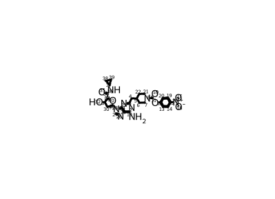 Nc1nc(CC2CCN(C(=O)Oc3ccc([N+](=O)[O-])cc3)CC2)nc2c1ncn2[C@H]1CC(O)[C@@H](C(=O)NC2CC2)O1